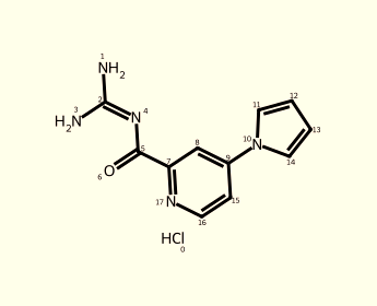 Cl.NC(N)=NC(=O)c1cc(-n2cccc2)ccn1